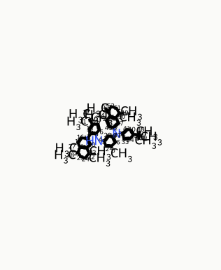 Cc1cc(Nc2ccc(C(C)(C)C)cc2-c2ccc3c(c2)C(C)(C)CCC3(C)C)cc(N(c2ccc(C(C)(C)C)cc2)c2ccc3c(c2)C(C)(C)CCC3(C)C)c1